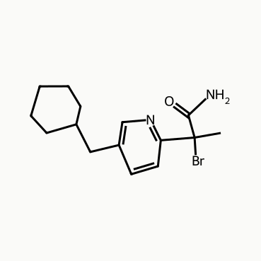 CC(Br)(C(N)=O)c1ccc(CC2CCCCC2)cn1